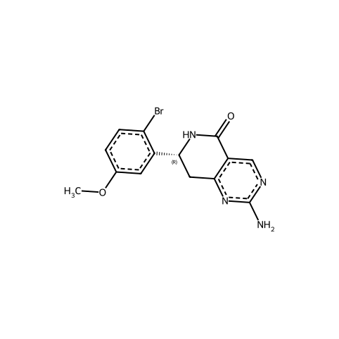 COc1ccc(Br)c([C@H]2Cc3nc(N)ncc3C(=O)N2)c1